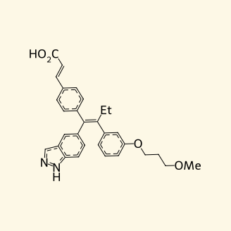 CCC(=C(c1ccc(C=CC(=O)O)cc1)c1ccc2[nH]ncc2c1)c1cccc(OCCCOC)c1